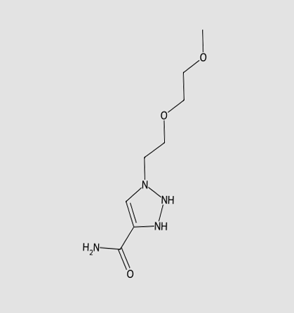 COCCOCCN1C=C(C(N)=O)NN1